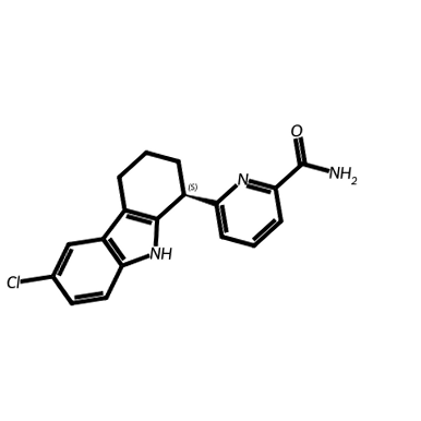 NC(=O)c1cccc([C@@H]2CCCc3c2[nH]c2ccc(Cl)cc32)n1